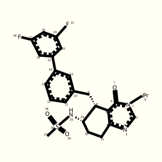 CC(C)n1cnc2c(c1=O)[C@@H](Cc1cccc(-c3cc(F)cc(F)c3)c1)[C@@H](NS(C)(=O)=O)CC2